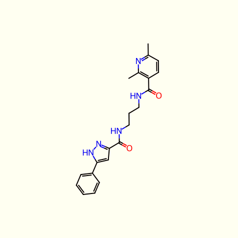 Cc1ccc(C(=O)NCCCNC(=O)c2cc(-c3ccccc3)[nH]n2)c(C)n1